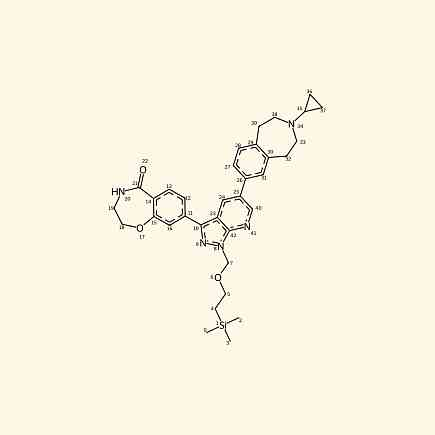 C[Si](C)(C)CCOCn1nc(-c2ccc3c(c2)OCCNC3=O)c2cc(-c3ccc4c(c3)CCN(C3CC3)CC4)cnc21